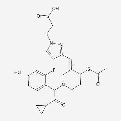 CC(=O)SC1CCN(C(C(=O)C2CC2)c2ccccc2F)C/C1=C\c1ccn(CCC(=O)O)n1.Cl